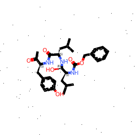 CC(=O)[C@H](Cc1ccc(O)cc1)NC(=O)[C@H](CC(C)C)N[C@H](O)[C@H](CC(C)C)NC(=O)OCc1ccccc1